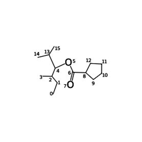 CCC(C)C(OC(=O)C1CCCC1)C(C)C